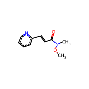 CON(C)C(=O)C=Cc1ccccn1